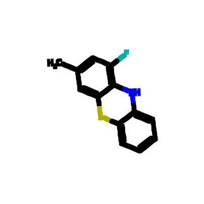 Cc1cc(F)c2c(c1)Sc1ccccc1N2